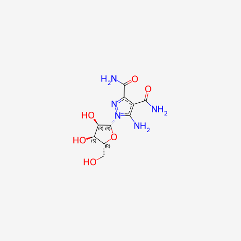 NC(=O)c1nn([C@@H]2O[C@H](CO)[C@@H](O)[C@H]2O)c(N)c1C(N)=O